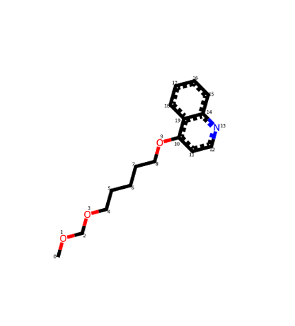 COCOCCCCCOc1ccnc2ccccc12